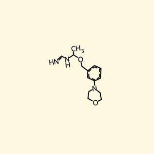 CC(NC=N)OCc1cccc(N2CCOCC2)c1